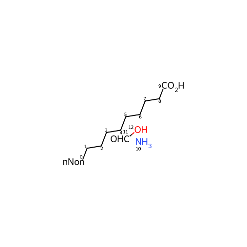 CCCCCCCCCCCCCCCCCC(=O)O.N.O=CO